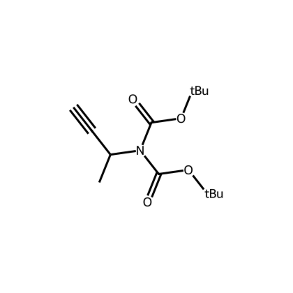 C#CC(C)N(C(=O)OC(C)(C)C)C(=O)OC(C)(C)C